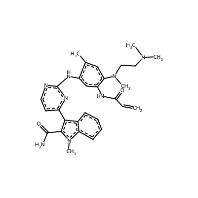 C=CC(=O)Nc1cc(Nc2nccc(-c3c(C(N)=O)n(C)c4ccccc34)n2)c(C)cc1N(C)CCN(C)C